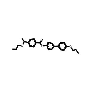 CCCOc1ccc(-c2ccc(OC(=O)c3ccc(C(C)OCCC)cc3)cc2)cc1